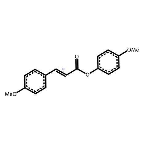 COc1ccc(/C=C/C(=O)Oc2ccc(OC)cc2)cc1